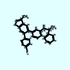 Cc1nsc2nc(-c3ccc(F)cc3)c(-c3ccnc(N[C@@H](C)c4ccccc4)n3)cc12